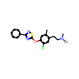 CCN(C)CCc1cc(Cl)c(Oc2nc(-c3ccccc3)ns2)cc1C